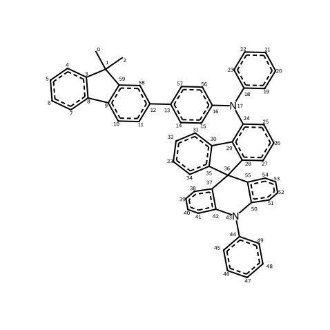 CC1(C)c2ccccc2-c2ccc(-c3ccc(N(c4ccccc4)c4cccc5c4-c4ccccc4C54c5ccccc5N(c5ccccc5)c5ccccc54)cc3)cc21